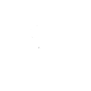 CCc1cc(Nc2cc(=O)[nH]c(=O)[nH]2)ccc1C